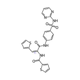 O=C(Nc1ccc(S(=O)(=O)Nc2ncccn2)cc1)/C(=C\c1cccs1)NC(=O)c1cccs1